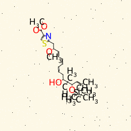 C/C=C/C(O[Si](C)(C)C(C)(C)C)C(C)(C)C(O)C\C=C/C=C\C=C\C(Cc1nc(C(=O)OC)cs1)OC